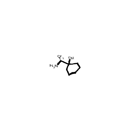 N[C@H](C(F)(F)F)C1(O)CCCCC1